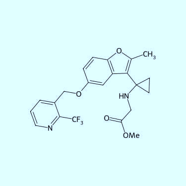 COC(=O)CNC1(c2c(C)oc3ccc(OCc4cccnc4C(F)(F)F)cc23)CC1